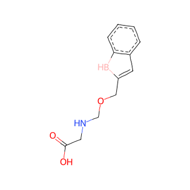 O=C(O)CNCOCC1=Cc2ccccc2B1